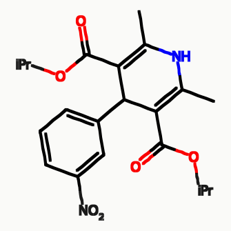 CC1=C(C(=O)OC(C)C)C(c2cccc([N+](=O)[O-])c2)C(C(=O)OC(C)C)=C(C)N1